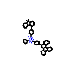 CC1(C)c2ccccc2-c2c(-c3ccc(-c4nc(-c5ccccc5)nc(-c5ccc(-c6cc7c8ccccc8c8ccccc8c7c7ccccc67)cc5)n4)cc3)cccc21